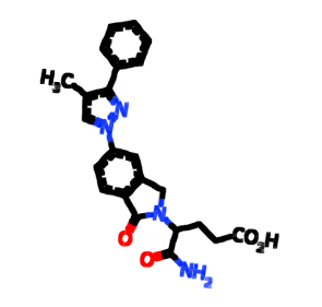 Cc1cn(-c2ccc3c(c2)CN(C(CCC(=O)O)C(N)=O)C3=O)nc1-c1ccccc1